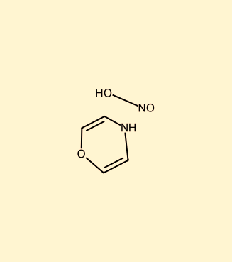 C1=COC=CN1.O=NO